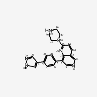 Cn1cc(-c2ccc(-c3cncc4ccc(N5CCNCC5)nc34)cc2)cn1